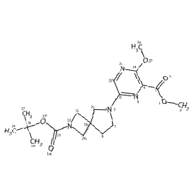 COC(=O)c1nc(N2CCC3(CN(C(=O)OC(C)(C)C)C3)C2)cnc1OC